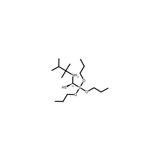 CCCO[Si](OCCC)(OCCC)[C@@H](S)[SiH2]C(C)(C)C(C)C